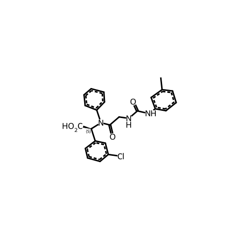 Cc1cccc(NC(=O)NCC(=O)N(c2ccccc2)[C@H](C(=O)O)c2cccc(Cl)c2)c1